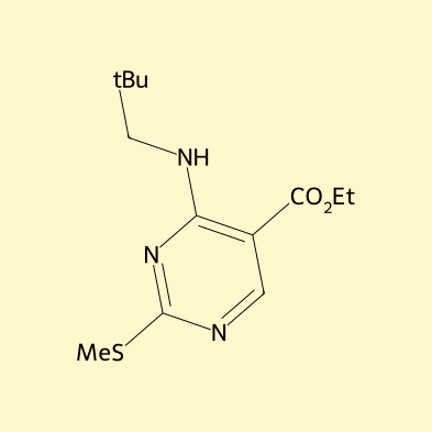 CCOC(=O)c1cnc(SC)nc1NCC(C)(C)C